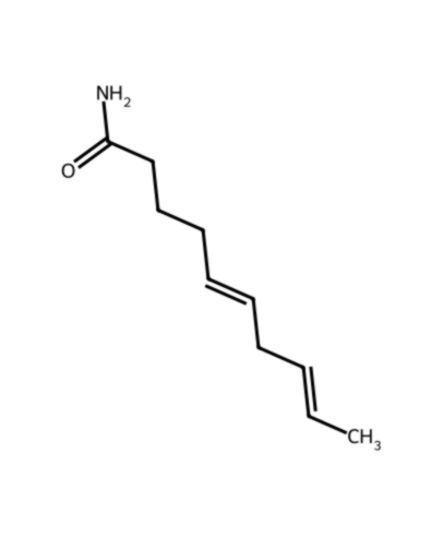 CC=CCC=CCCCC(N)=O